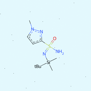 Cn1ccc(S(N)(=O)=N[Si](C)(C)C(C)(C)C)n1